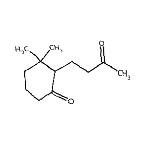 CC(=O)CCC1C(=O)CCCC1(C)C